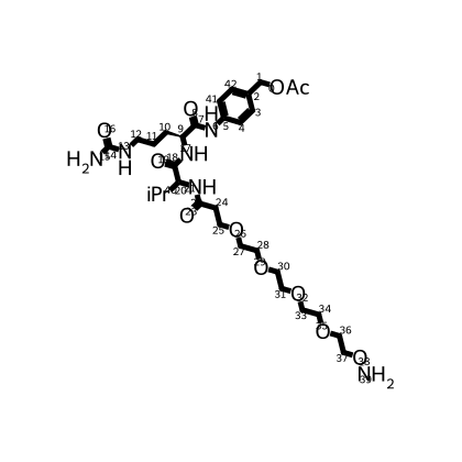 CC(=O)OCc1ccc(NC(=O)[C@H](CCCNC(N)=O)NC(=O)C(NC(=O)CCOCCOCCOCCOCCON)C(C)C)cc1